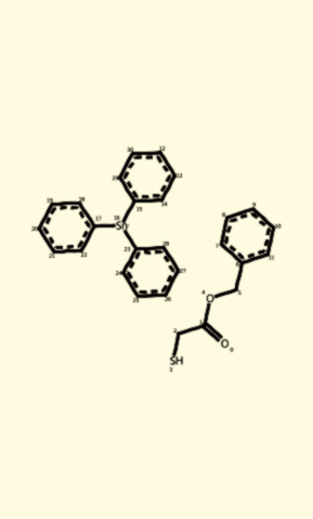 O=C(CS)OCc1ccccc1.c1cc[c]([Sn]([c]2ccccc2)[c]2ccccc2)cc1